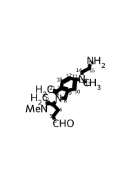 C=C(NC)C(CCC=O)N1Cc2cc(N(C)CCN)ccc2C1=C